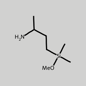 CO[Si](C)(C)CCC(C)N